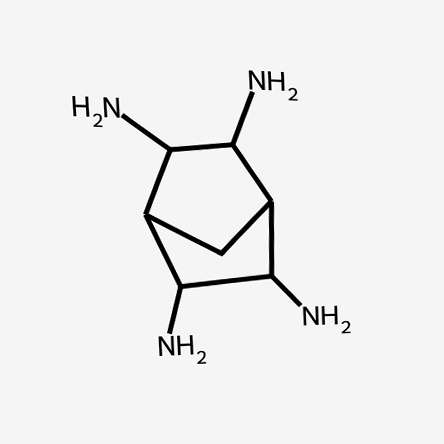 NC1C(N)C2CC1C(N)C2N